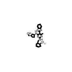 Cc1nc(NCc2ccccc2C(F)(F)F)nc(N[C@H]2CC[C@@H](CO)C2)c1-c1nc2ccccc2s1